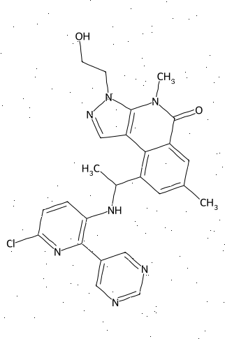 Cc1cc(C(C)Nc2ccc(Cl)nc2-c2cncnc2)c2c(c1)c(=O)n(C)c1c2cnn1CCO